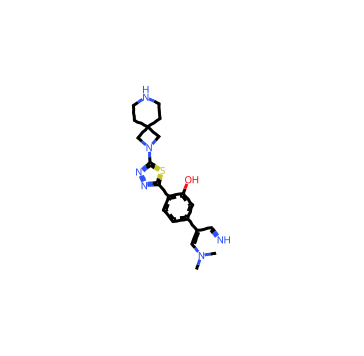 CN(C)/C=C(\C=N)c1ccc(-c2nnc(N3CC4(CCNCC4)C3)s2)c(O)c1